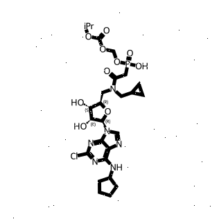 CC(C)OC(=O)OCOP(=O)(O)CC(=O)N(CC1CC1)C[C@H]1O[C@@H](n2cnc3c(NC4CCCC4)nc(Cl)nc32)[C@H](O)[C@@H]1O